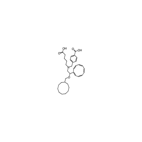 O=C(O)CCCCN(Cc1ccc(C(=O)O)cc1)CC(OCC1CCCCCCCCC1)c1ccccccccc1